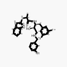 CCc1cccc(CNC[C@@H](O)[C@H](Cc2cc(F)cc(F)c2)NC(=O)C(C)Sc2nc3ccccc3[nH]2)c1